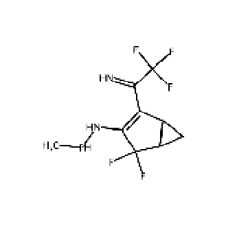 CPNC1=C(C(=N)C(F)(F)F)C2CC2C1(F)F